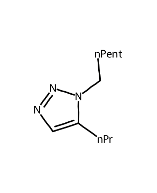 CCCCCCn1nncc1CCC